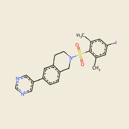 Cc1cc(I)cc(C)c1S(=O)(=O)N1CCc2cc(-c3cncnc3)ccc2C1